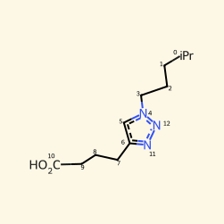 CC(C)CCCn1cc(CCCC(=O)O)nn1